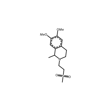 COc1cc2c(cc1OC)C(C)N(CCS(C)(=O)=O)CC2